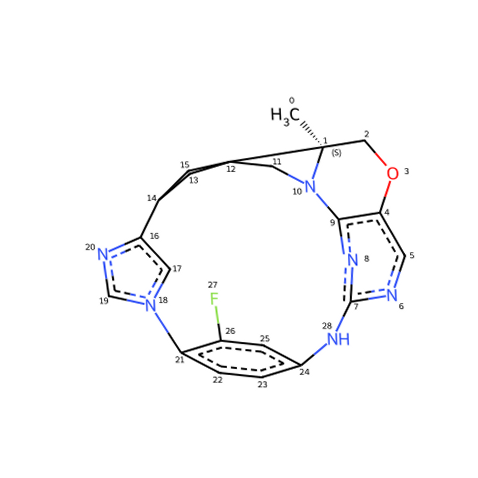 C[C@]12COc3cnc4nc3N1CC21CC(C1)c1cn(cn1)-c1ccc(cc1F)N4